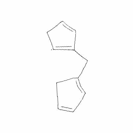 [C]1=C(CC2=CC=CC2)C=CC1